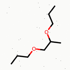 C[CH]COCC(C)OC[CH]C